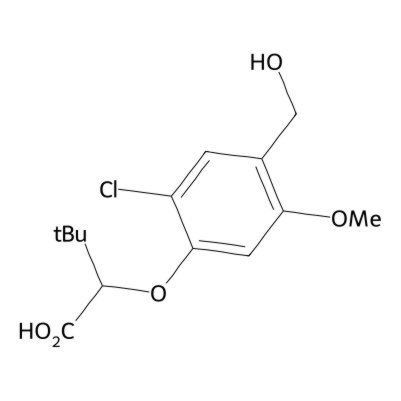 COc1cc(OC(C(=O)O)C(C)(C)C)c(Cl)cc1CO